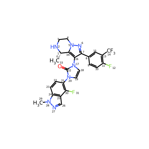 C[C@@H]1NCCn2nc(-c3ccc(F)c(C(F)(F)F)c3)c(-n3ccn(-c4ccc5c(cnn5C)c4F)c3=O)c21